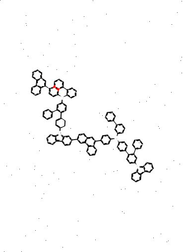 C1=C(c2ccc(N(c3ccc(-c4cc5ccccc5c5ccccc45)cc3)c3ccccc3-c3ccccc3)cc2-c2ccccc2)CCC(n2c3ccccc3c3ccc(-c4ccc5cc(-c6ccc(N(c7ccc(-c8ccc(-n9c%10ccccc%10c%10ccccc%109)cc8-c8ccccc8)cc7)c7cccc(-c8ccccc8)c7)cc6)c6ccccc6c5c4)cc32)=C1